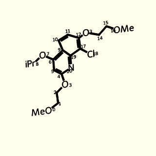 COCCOc1cc(OC(C)C)c2ccc(OCCOC)c(Cl)c2n1